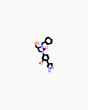 COc1cc(N2CC(CO)N(Cc3ccccc3)C2=O)ccc1-c1cn[nH]c1